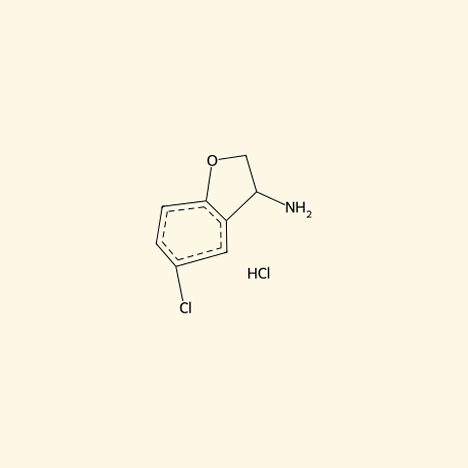 Cl.NC1COc2ccc(Cl)cc21